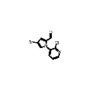 O=Cc1cc(Br)cn1-c1cccnc1Cl